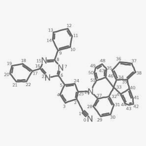 N#Cc1ccc(-c2nc(-c3ccccc3)nc(-c3ccccc3)n2)cc1N1c2ccccc2C2(c3ccccc3-c3ccccc32)c2ccccc21